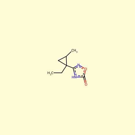 CCC1(c2noc(=O)[nH]2)CC1C